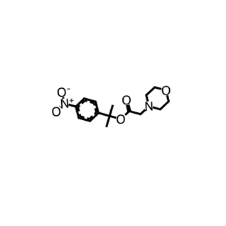 CC(C)(OC(=O)CN1CCOCC1)c1ccc([N+](=O)[O-])cc1